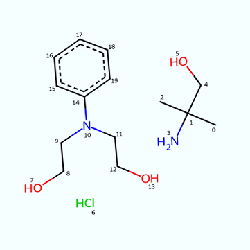 CC(C)(N)CO.Cl.OCCN(CCO)c1ccccc1